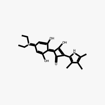 CC[N+](CC)=C1C=C(O)C(=C2C(=O)C(c3[nH]c(C)c(C)c3C)=C2O)C(O)=C1